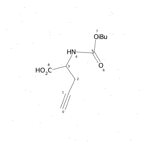 C#CCC(NC(=O)OCC(C)C)C(=O)O